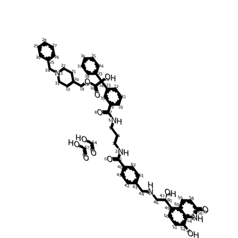 O=C(NCCCNC(=O)c1cccc(C(O)(C(=O)OCC2CCN(Cc3ccccc3)CC2)c2ccccc2)c1)c1ccc(CNC[C@H](O)c2ccc(O)c3[nH]c(=O)ccc23)cc1.O=CO.O=CO